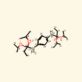 CCC(OC(C)C)(OC(C)C)[SiH2]c1ccc([SiH2]C(CC)(OC(C)C)OC(C)C)cc1